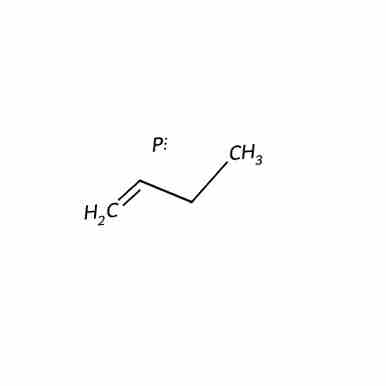 C=CCC.[P]